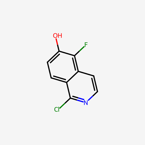 Oc1ccc2c(Cl)nccc2c1F